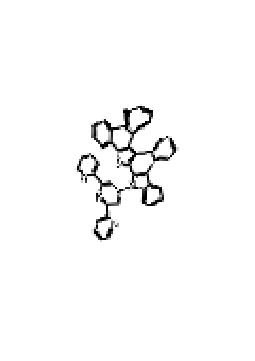 c1ccc(-c2cc(-n3c4ccccc4c4c5ccccc5c5c(sc6c7ccccc7c7ccccc7c65)c43)cc(-c3ccccn3)n2)nc1